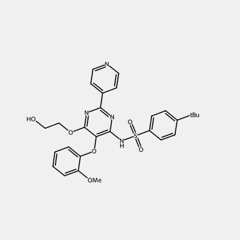 COc1ccccc1Oc1c(NS(=O)(=O)c2ccc(C(C)(C)C)cc2)nc(-c2ccncc2)nc1OCCO